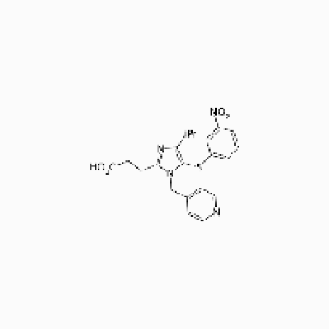 CC(C)c1nc(CCC(=O)O)n(Cc2ccncc2)c1Sc1cccc([N+](=O)[O-])c1